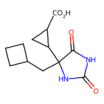 O=C1NC(=O)C(CC2CCC2)(C2CC2C(=O)O)N1